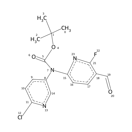 CC(C)(C)OC(=O)N(c1ccc(Cl)nc1)c1ccc(C=O)c(F)n1